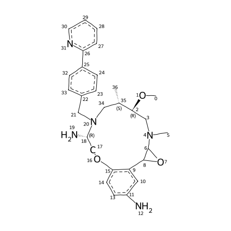 CO[C@H]1CN(C)C2OC2c2cc(N)ccc2OC[C@H](N)N(Cc2ccc(-c3ccccn3)cc2)C[C@@H]1C